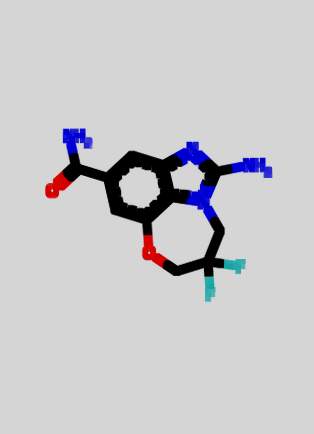 NC(=O)c1cc2c3c(c1)nc(N)n3CC(F)(F)CO2